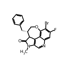 CN1C(=O)C2c3c1cnc1cc(F)c(Br)c(c31)OC[C@H]2Cc1ccccc1